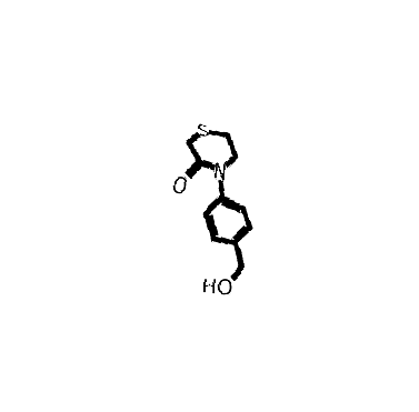 O=C1CSCCN1c1ccc(CO)cc1